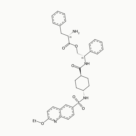 CCOc1ccc2cc(S(=O)(=O)N[C@H]3CC[C@H](C(=O)N[C@H](COC(=O)[C@@H](N)Cc4ccccc4)c4ccccc4)CC3)ccc2n1